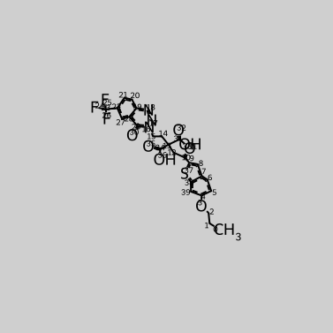 CCCOc1ccc2cc(C(=O)CC(CCn3nnc4ccc(C(F)(F)F)cc4c3=O)(C(=O)O)C(=O)O)sc2c1